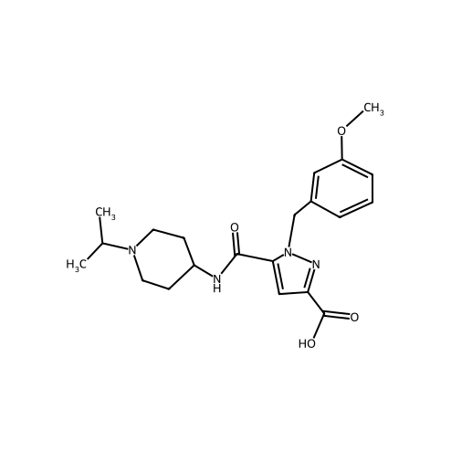 COc1cccc(Cn2nc(C(=O)O)cc2C(=O)NC2CCN(C(C)C)CC2)c1